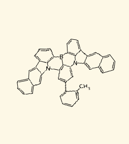 Cc1ccccc1-c1cc2c3c(c1)-n1c4cc5ccccc5cc4c4cccc(c41)B3c1cccc3c4cc5ccccc5cc4n-2c13